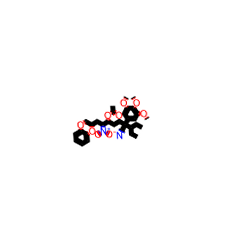 CCC(CC)C(C#N)(CCC(OC(C)=O)C(CC1COc2ccccc2O1)[N+](=O)[O-])c1cc(OC)c(OC)c(OC)c1